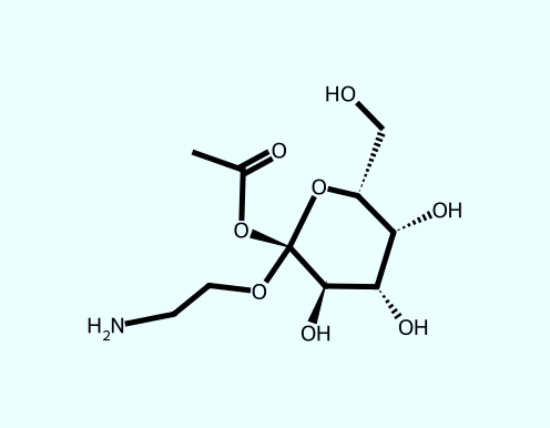 CC(=O)O[C@@]1(OCCN)O[C@H](CO)[C@H](O)[C@H](O)[C@H]1O